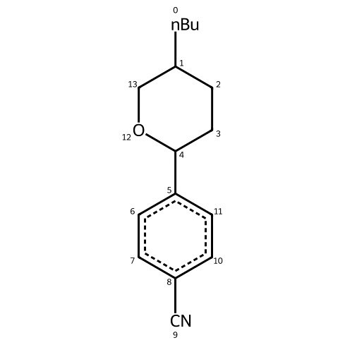 CCCCC1CCC(c2ccc(C#N)cc2)OC1